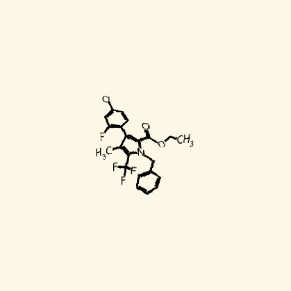 CCOC(=O)c1c(-c2ccc(Cl)cc2F)c(C)c(C(F)(F)F)n1Cc1ccccc1